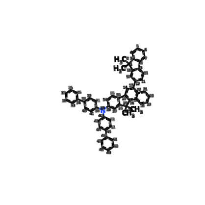 CC1(C)c2ccccc2-c2ccc(-c3cc4c(c5ccccc35)C(C)(C)c3cc(N(c5ccc(-c6ccccc6)cc5)c5ccc(-c6ccccc6)cc5)ccc3-4)cc21